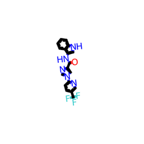 O=C(Nc1c[nH]c2ccccc12)c1cn(-c2ccc(C(F)(F)F)cn2)cn1